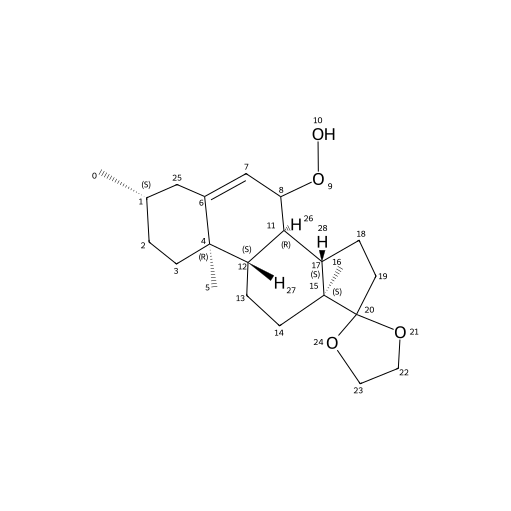 C[C@H]1CC[C@@]2(C)C(=CC(OO)[C@@H]3[C@@H]2CC[C@@]2(C)[C@H]3CCC23OCCO3)C1